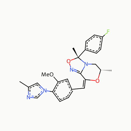 COc1cc(/C=C2/O[C@@H](C)CN3C2=NO[C@]3(C)c2ccc(F)cc2)ccc1-n1cnc(C)c1